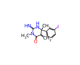 C=C1C(=O)N(C)C(=N)N[C@]1(C)c1cccc(I)c1